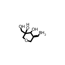 B/C=C1/COCC(O)(CO)C1O